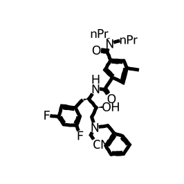 CCCN(CCC)C(=O)c1cc(C)cc(C(=O)N[C@@H](Cc2cc(F)cc(F)c2)[C@H](O)CN(CC#N)Cc2ccccc2)c1